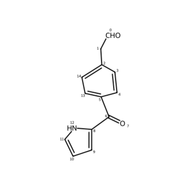 O=CCc1ccc(C(=O)c2ccc[nH]2)cc1